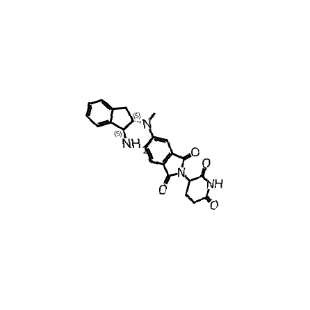 CN(c1ccc2c(c1)C(=O)N(C1CCC(=O)NC1=O)C2=O)[C@H]1Cc2ccccc2[C@@H]1N